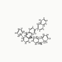 c1cc(-c2ccc3ccccc3c2)cc(N(c2ccc3sc4ccccc4c3c2)c2cccc3c2sc2ccccc23)c1